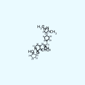 Cc1nn(C)cc1-c1ccc(CN(C)Cc2ccnc(OC3CCC[C@@H]3O)c2C=O)cc1